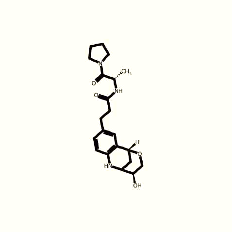 C[C@H](NC(=O)CCc1ccc2c(c1)[C@H]1CC(N2)[C@H](O)CO1)C(=O)N1CCCC1